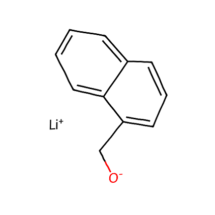 [Li+].[O-]Cc1cccc2ccccc12